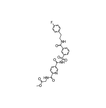 COC(=O)CNC(=O)c1ccc(C(=O)NS(=O)(=O)c2cccc(C(=O)NCCc3ccc(F)cc3)c2)cn1